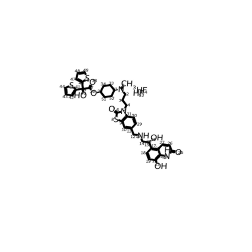 CN(CCCn1c(=O)sc2cc(CNC[C@H](O)c3ccc(O)c4[nH]c(=O)ccc34)ccc21)[C@H]1CC[C@H](OC(=O)C(O)(c2cccs2)c2cccs2)CC1.F.F